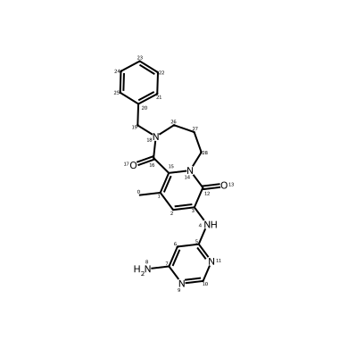 Cc1cc(Nc2cc(N)ncn2)c(=O)n2c1C(=O)N(Cc1ccccc1)CCC2